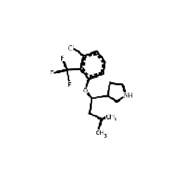 CC(C)CC(Oc1cccc(Cl)c1C(F)(F)F)C1CCNC1